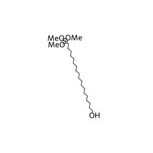 CO[Si](CCCCCCCCCCCCCCCCCCCO)(OC)OC